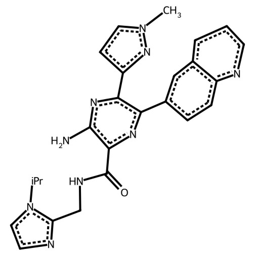 CC(C)n1ccnc1CNC(=O)c1nc(-c2ccc3ncccc3c2)c(-c2ccn(C)n2)nc1N